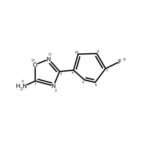 Nc1nc(-c2ccc(F)cc2)no1